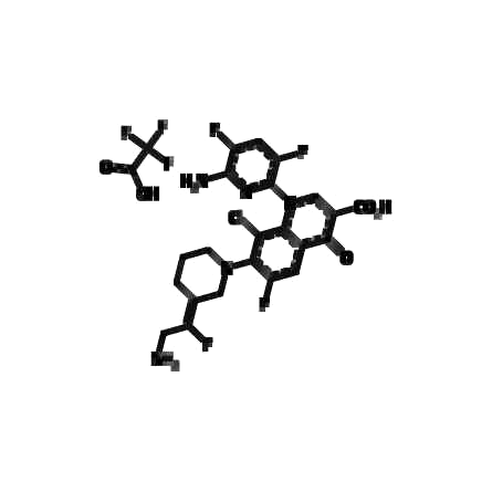 NCC(F)=C1CCCN(c2c(F)cc3c(=O)c(C(=O)O)cn(-c4nc(N)c(F)cc4F)c3c2Cl)C1.O=C(O)C(F)(F)F